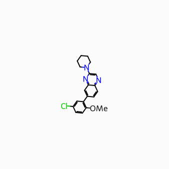 COc1ccc(Cl)cc1-c1ccc2ncc(N3CCCCC3)nc2c1